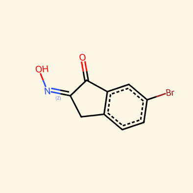 O=C1/C(=N\O)Cc2ccc(Br)cc21